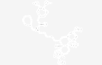 COc1ccc(CC(=O)N(CCCCC[C@@H]2Cc3cc(O)cc(F)c3[C@H]3CC[C@]4(C)[C@@H](O)CC[C@H]4[C@H]23)CC2CCCCC2)cc1OC